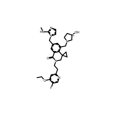 CCOc1cc(CCN2CC3(CC3)c3c(CN4CC[C@@H](O)C4)cc(Cn4ccnc4NC)cc3C2=O)ncc1F